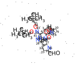 CCO/C=C\c1c(C2CC3CC[C@H](C2)N3C(=O)OC(C)(C)C)nc2c(-c3ccc(C=O)nc3)cnn2c1N(COCC[Si](C)(C)C)COCC[Si](C)(C)C